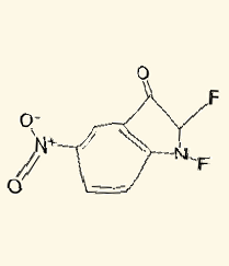 O=C1c2cc([N+](=O)[O-])ccc2N(F)C1F